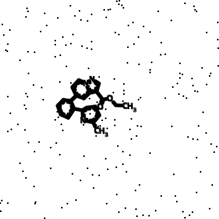 CCOC(=O)c1cnn2ccc(-c3ccccc3-c3cccc(C)n3)cc12